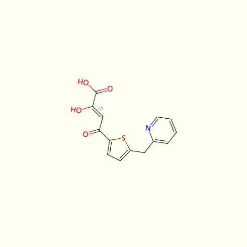 O=C(O)/C(O)=C/C(=O)c1ccc(Cc2ccccn2)s1